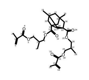 C=C(C)C(=O)OCC(C)COC(=O)C12CC3(C)CC(C)(C1)CC(C(=O)OCC(C)COC(=O)C(=C)C)(C3)C2